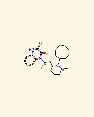 C[C@H]1CCC[C@@H](C[C@H](C)n2c(=O)c(=O)[nH]c3ccccc32)N1C1CCCCCCC1